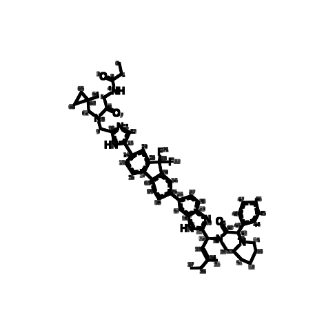 CCC(=O)NCC(=O)N(Cc1ncc(-c2ccc3c(c2)C(F)(F)c2cc(-c4ccc5nc([C@H](/C=C(\C)CC)N(C)C(=O)C(c6ccccc6)N6CCCCC6)[nH]c5c4)ccc2-3)[nH]1)CC1(C)CC1